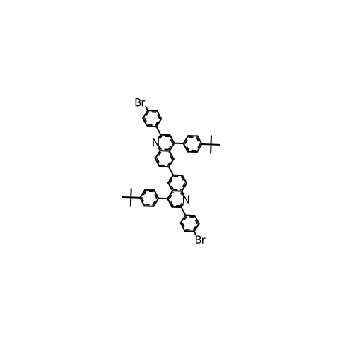 CC(C)(C)c1ccc(-c2cc(-c3ccc(Br)cc3)nc3ccc(-c4ccc5nc(-c6ccc(Br)cc6)cc(-c6ccc(C(C)(C)C)cc6)c5c4)cc23)cc1